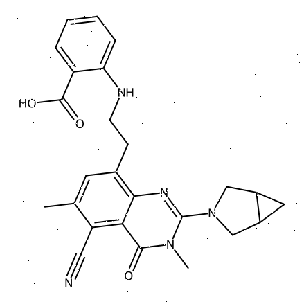 Cc1cc(CCNc2ccccc2C(=O)O)c2nc(N3CC4CC4C3)n(C)c(=O)c2c1C#N